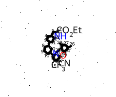 CCOC(=O)c1cc2ccc(-c3cccc(-c4cc(C(F)(F)F)c(C#N)c(=O)n4Cc4ccc(C)cc4C)c3)cc2[nH]1